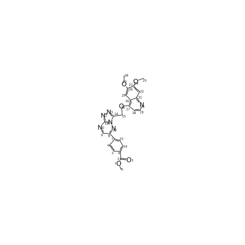 COC(=O)c1ccc(-c2cnc3nnc(COc4ccnc5cc(OC)c(OC)cc45)n3n2)cc1